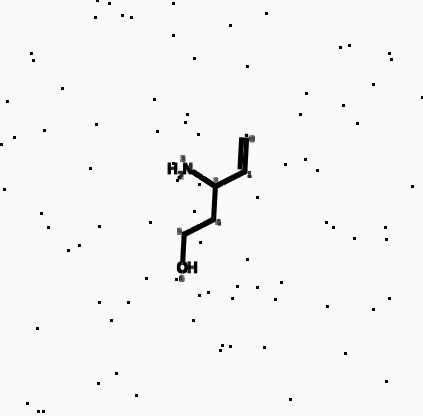 [CH]=CC(N)CCO